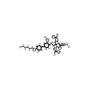 CCCCCCOc1ccc(-c2ccc(CCC(COC(C)=O)(COC(C)=O)CC(N)=O)c(OC)c2)cc1